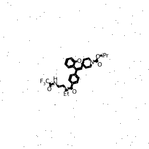 CCN(CCNC(=O)C(F)(F)F)C(=O)c1ccc(C2=CC3(CCN(C(=O)OC(C)C)CC3)Oc3ccccc32)cc1